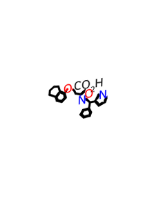 O=C(O)C(Cc1coc(C(c2ccccc2)c2cccnc2)n1)Oc1cccc2c1CCCC2